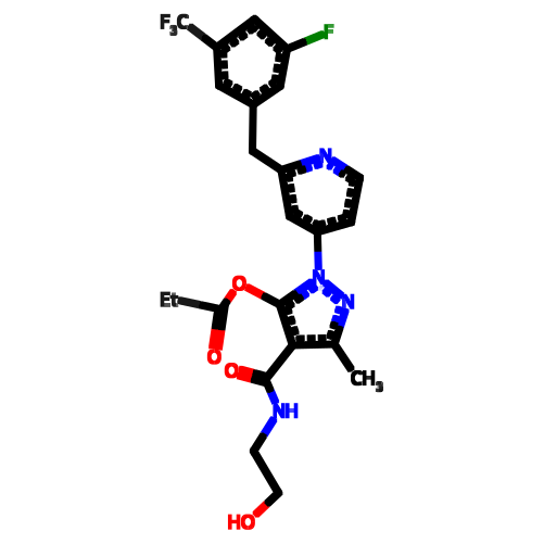 CCC(=O)Oc1c(C(=O)NCCO)c(C)nn1-c1ccnc(Cc2cc(F)cc(C(F)(F)F)c2)c1